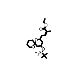 CCOC(=O)C(C)=CCC1CC(O[SiH2]C(C)(C)C)CC2(CCCCO2)O1